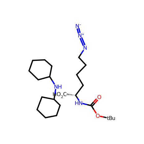 C1CCC(NC2CCCCC2)CC1.CC(C)(C)OC(=O)N[C@@H](CCCCN=[N+]=[N-])C(=O)O